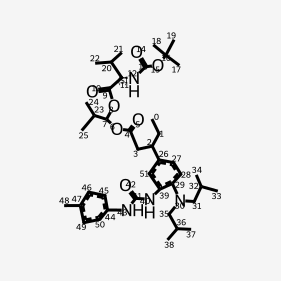 CCC(CC(=O)OC(OC(=O)[C@@H](NC(=O)OC(C)(C)C)C(C)C)C(C)C)c1ccc(N(CC(C)C)CC(C)C)c(NC(=O)Nc2ccc(C)cc2)c1